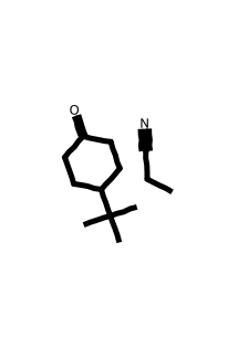 CC(C)(C)C1CCC(=O)CC1.CCC#N